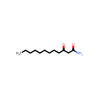 CCCCCCCCCC(=O)CC(N)=O